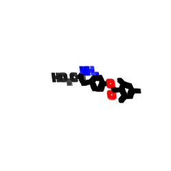 Cc1cc(C)c(C(=O)Oc2ccc(C[C@H](N)C(=O)O)cc2)c(C)c1